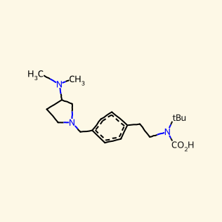 CN(C)C1CCN(Cc2ccc(CCN(C(=O)O)C(C)(C)C)cc2)C1